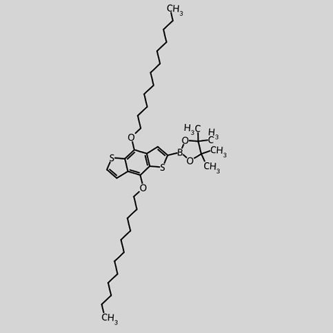 CCCCCCCCCCCCOc1c2cc(B3OC(C)(C)C(C)(C)O3)sc2c(OCCCCCCCCCCCC)c2ccsc12